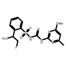 COc1cc(C)nc(NC(=O)NS(=O)(=O)c2ccccc2C(CF)OC(C)=O)n1